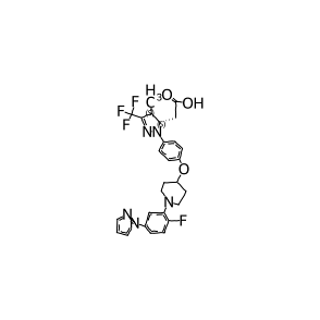 C[C@@H]1C(C(F)(F)F)=NN(c2ccc(OC3CCN(c4cc(-n5cccn5)ccc4F)CC3)cc2)[C@H]1CC(=O)O